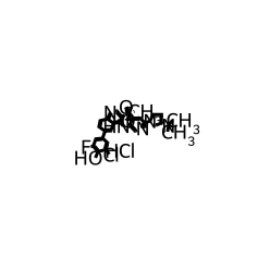 CN(C)C1CCN(c2ccc(Nc3c(S(C)(=O)=O)cnc4ccc(-c5cc(F)c(O)c(Cl)c5)cc34)cn2)C1.Cl